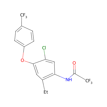 CCc1cc(Oc2ccc(C(F)(F)F)cc2)c(Cl)cc1NC(=O)C(F)(F)F